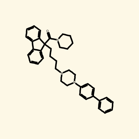 O=C(N1CCCCC1)C1(CCCCN2CCN(c3ccc(-c4ccccc4)cc3)CC2)c2ccccc2-c2ccccc21